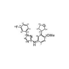 COc1ccc(Nc2ncn(-c3cccc(F)c3)n2)cc1C1CCOC1